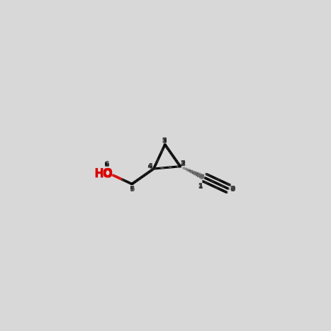 C#C[C@H]1CC1CO